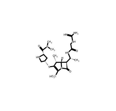 C[C@@H](NC(=O)CNC(=N)N)[C@H]1C(=O)N2C(C(=O)O)=C(S[C@@H]3CN[C@H](C(=O)N(C)C)C3)[C@H](C)[C@H]12